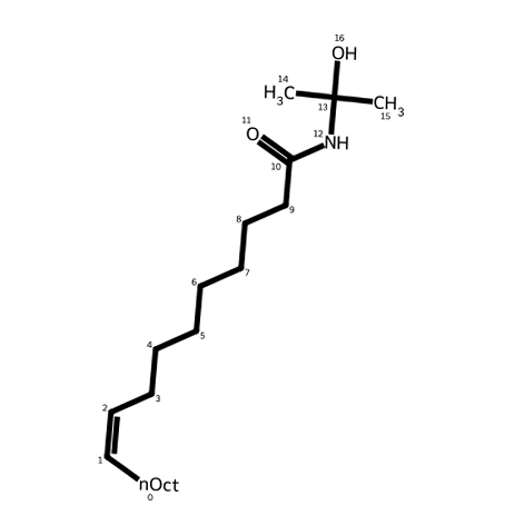 CCCCCCCC/C=C\CCCCCCCC(=O)NC(C)(C)O